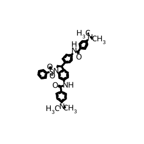 CN(C)c1ccc(C(=O)Nc2ccc(C3CN(S(=O)(=O)c4ccccc4)c4cc(NC(=O)c5ccc(N(C)C)cc5)ccc43)cc2)cc1